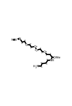 COC(CCOCCOOCCOCCN=[N+]=[N-])NCCCCN